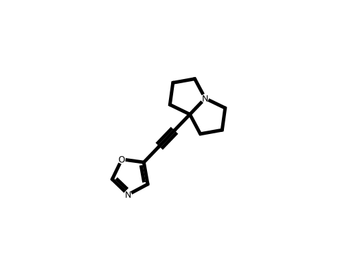 C(#CC12CCCN1CCC2)c1cnco1